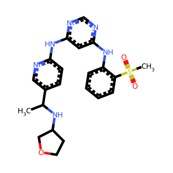 CC(NC1CCOC1)c1ccc(Nc2cc(Nc3ccccc3S(C)(=O)=O)ncn2)nc1